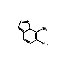 Nc1cnc2ccnn2c1N